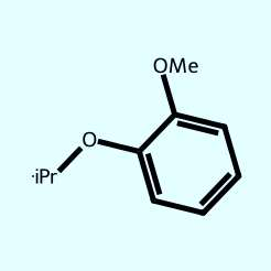 COc1ccccc1O[C](C)C